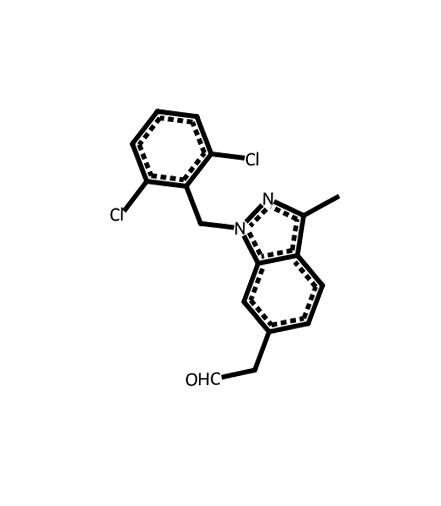 Cc1nn(Cc2c(Cl)cccc2Cl)c2cc(CC=O)ccc12